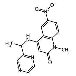 CC(Nc1cc(=O)n(C)c2ccc([N+](=O)[O-])cc12)c1cnccn1